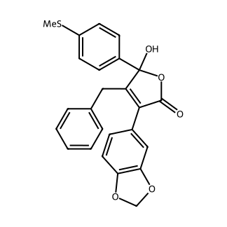 CSc1ccc(C2(O)OC(=O)C(c3ccc4c(c3)OCO4)=C2Cc2ccccc2)cc1